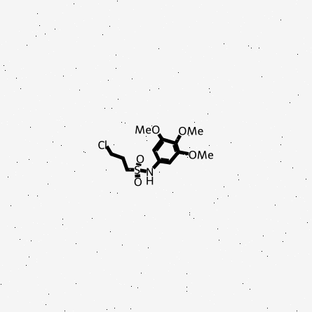 COc1cc(NS(=O)(=O)CCCCl)cc(OC)c1OC